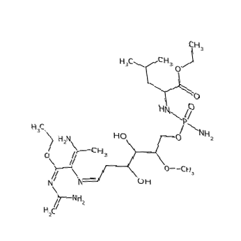 C=C(N)/N=C(/OCC)C(/N=C\CC(O)C(O)C(COP(N)(=O)NC(CC(C)C)C(=O)OCC)OC)=C(C)N